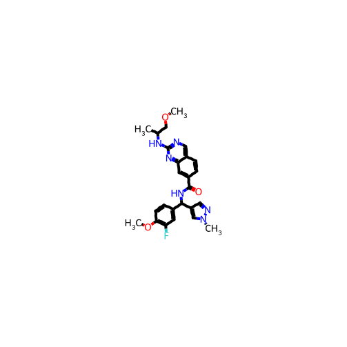 COCC(C)Nc1ncc2ccc(C(=O)NC(c3ccc(OC)c(F)c3)c3cnn(C)c3)cc2n1